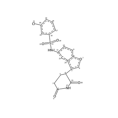 O=C1CCC(c2coc3ccc(NS(=O)(=O)c4cccc(Cl)c4)cc23)C(=O)N1